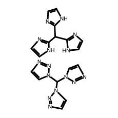 c1c[nH]c(C(c2ncc[nH]2)c2ncc[nH]2)n1.c1cn(C(n2ccnn2)n2ccnn2)nn1